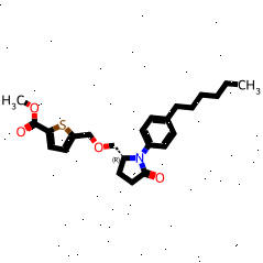 CCCCCCc1ccc(N2C(=O)CC[C@@H]2COCc2ccc(C(=O)OC)s2)cc1